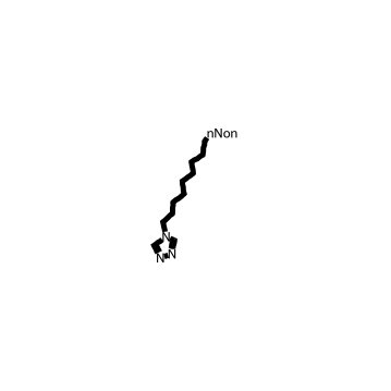 CCCCCCCCCCCCCCCCCCn1cnnc1